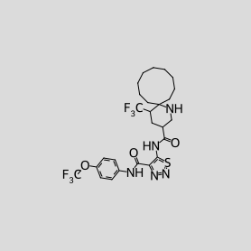 O=C(Nc1ccc(OC(F)(F)F)cc1)c1nnsc1NC(=O)C1CNC2(CCCCCCCCC2)C(C(F)(F)F)C1